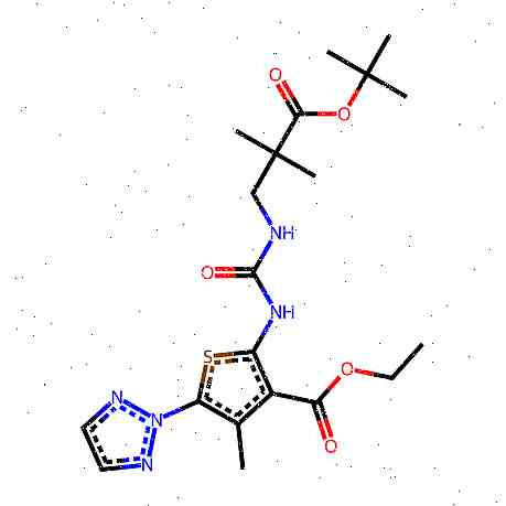 CCOC(=O)c1c(NC(=O)NCC(C)(C)C(=O)OC(C)(C)C)sc(-n2nccn2)c1C